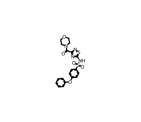 O=C(c1nsc(NS(=O)(=O)c2ccc(Oc3ccccc3)cc2)n1)N1CCOCC1